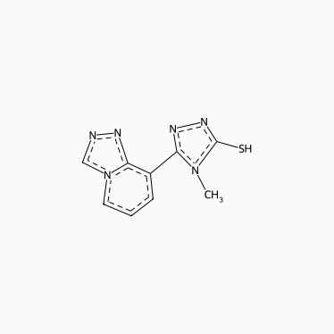 Cn1c(S)nnc1-c1cccn2cnnc12